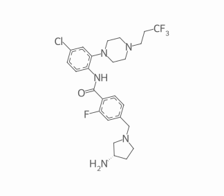 N[C@H]1CCN(Cc2ccc(C(=O)Nc3ccc(Cl)cc3N3CCN(CCC(F)(F)F)CC3)c(F)c2)C1